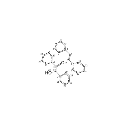 C(=Cc1ccccc1)c1ccccc1.O=C(c1ccccc1)C(O)c1ccccc1